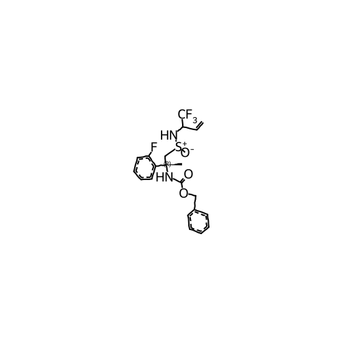 C=CC(N[S+]([O-])C[C@](C)(NC(=O)OCc1ccccc1)c1ccccc1F)C(F)(F)F